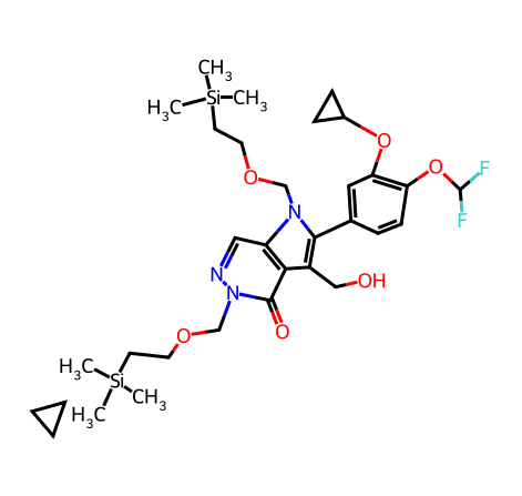 C1CC1.C[Si](C)(C)CCOCn1ncc2c(c(CO)c(-c3ccc(OC(F)F)c(OC4CC4)c3)n2COCC[Si](C)(C)C)c1=O